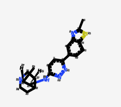 Cc1nc2cc(-c3ccc(N[C@H]4C5CCN(CC5)[C@@H]4C)nn3)ccc2s1